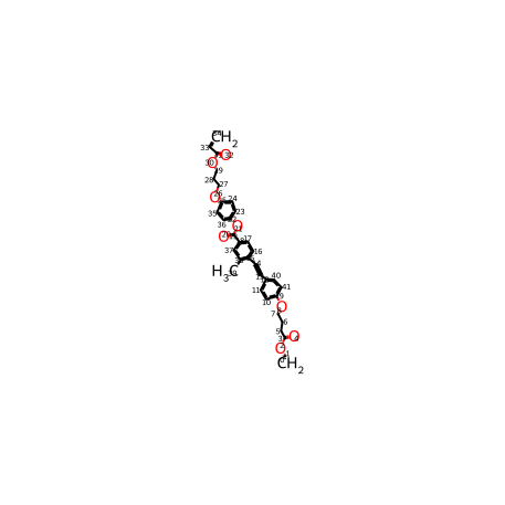 C=COC(=O)CCCOc1ccc(C#Cc2ccc(C(=O)Oc3ccc(OCCCOC(=O)C=C)cc3)cc2C)cc1